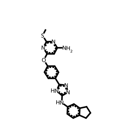 CSc1nc(N)cc(Oc2ccc(-c3nnc(Nc4ccc5c(c4)CCC5)[nH]3)cc2)n1